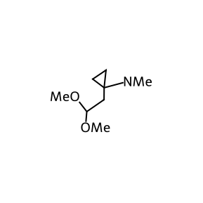 CNC1(CC(OC)OC)CC1